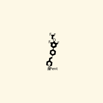 CCCCC[SiH]1CCC(CC[C@H]2CC[C@H](c3cc(F)c(OCC(F)F)c(F)c3)CC2)CC1